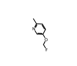 Cc1ccc(OCF)cn1